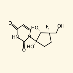 O=c1ccn([C@]2(O)CC[C@](F)(CO)[C@H]2O)c(=O)[nH]1